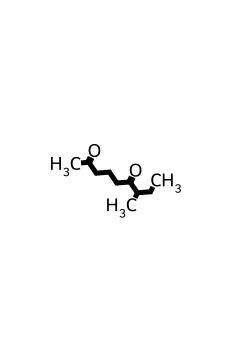 CCC(C)C(=O)CCCC(C)=O